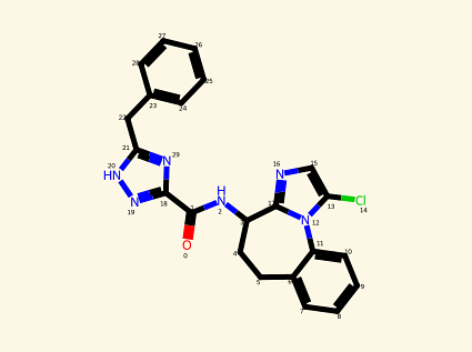 O=C(NC1CCc2ccccc2-n2c(Cl)cnc21)c1n[nH]c(Cc2ccccc2)n1